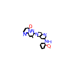 COc1ccccc1Nc1cnc2c(c1)CN(c1nn3c(=O)ccnc3cc1C)CC2